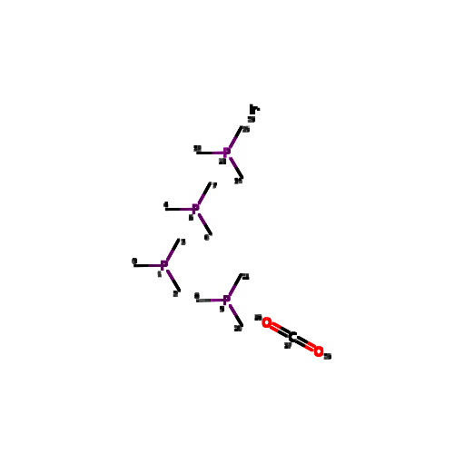 CP(C)C.CP(C)C.CP(C)C.CP(C)C.O=C=O.[Ir]